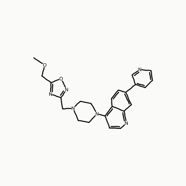 COCc1nc(CN2CCN(c3ccnc4cc(-c5cccnc5)ccc34)CC2)no1